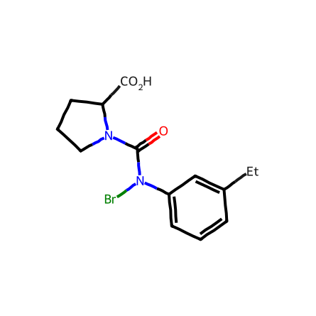 CCc1cccc(N(Br)C(=O)N2CCCC2C(=O)O)c1